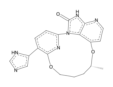 C[C@@H]1CCCOc2nc(ccc2-c2cnc[nH]2)-n2c(=O)[nH]c3nccc(c32)O1